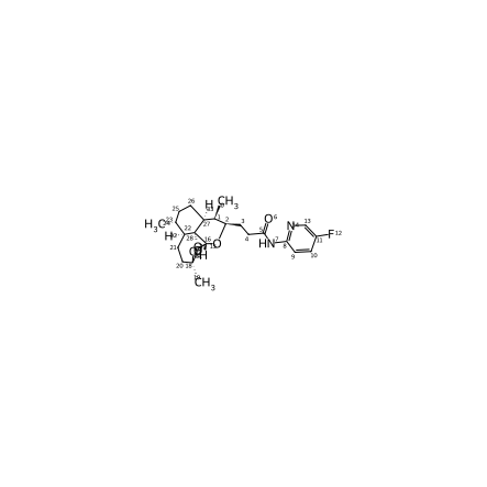 C[C@H]1[C@@H](CCC(=O)Nc2ccc(F)cn2)O[C@@H]2O[C@]3(C)CC[C@H]4[C@H](C)CC[C@@H]1[C@@]24OO3